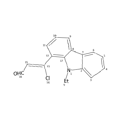 CCn1c2ccccc2c2cccc(C(Cl)=CC=O)c21